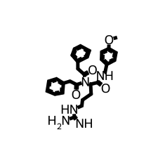 COc1ccc(CNC(=O)C(CCCNC(=N)N)N(C(=O)Cc2ccccc2)C(=O)Cc2ccccc2)cc1